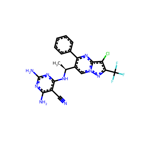 C[C@H](Nc1nc(N)nc(N)c1C#N)c1cn2nc(C(F)(F)F)c(Cl)c2nc1-c1ccccc1